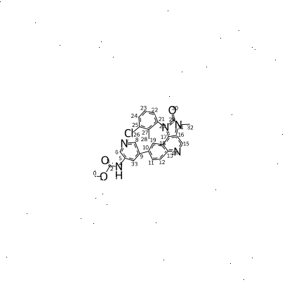 COC(=O)Nc1cncc(-c2ccc3ncc4c(c3c2)n(-c2cccc(Cl)c2C)c(=O)n4C)c1